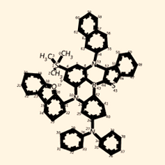 CS(C)(C)c1cc2c3c(c1)N(c1cccc4c1oc1ccccc14)c1cc(N(c4ccccc4)c4ccccc4)ccc1B3c1sc3ccccc3c1N2c1ccc2ccccc2c1